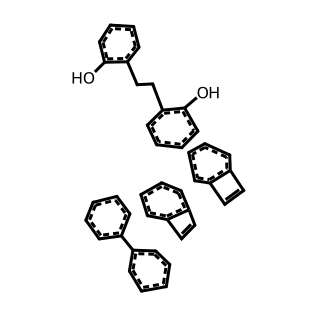 C1=Cc2ccccc21.C1=Cc2ccccc21.Oc1ccccc1CCc1ccccc1O.c1ccc(-c2ccccc2)cc1